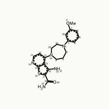 COc1cccc(N2CCCN(c3ccnc4sc(C(N)=O)c(N)c34)CC2)c1